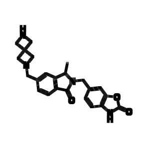 CC1c2cc(CN3CC4(CNC4)C3)ccc2C(=O)N1Cc1ccc2[nH]c(=O)oc2c1